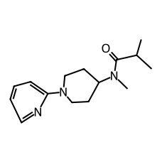 CC(C)C(=O)N(C)C1CCN(c2ccccn2)CC1